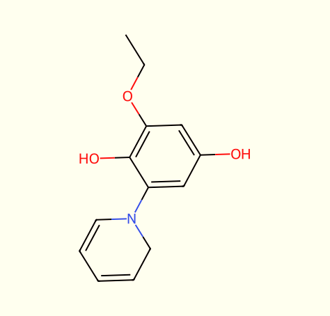 CCOc1cc(O)cc(N2C=CC=CC2)c1O